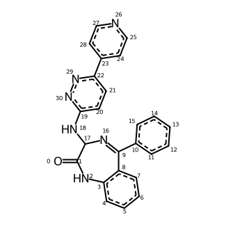 O=C1Nc2ccccc2C(c2ccccc2)=NC1Nc1ccc(-c2ccncc2)nn1